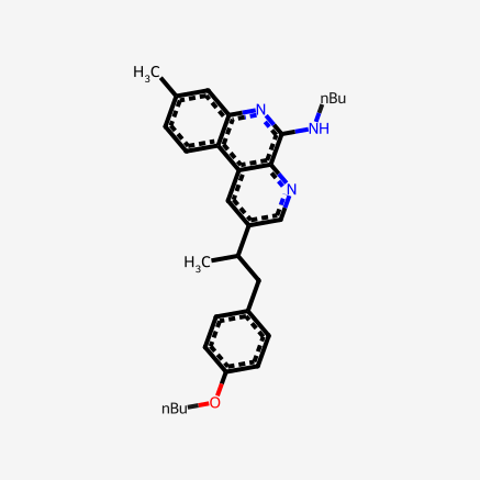 CCCCNc1nc2cc(C)ccc2c2cc(C(C)Cc3ccc(OCCCC)cc3)cnc12